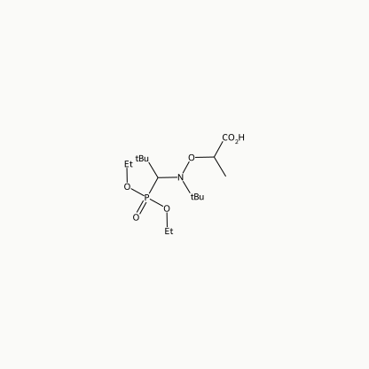 CCOP(=O)(OCC)C(N(OC(C)C(=O)O)C(C)(C)C)C(C)(C)C